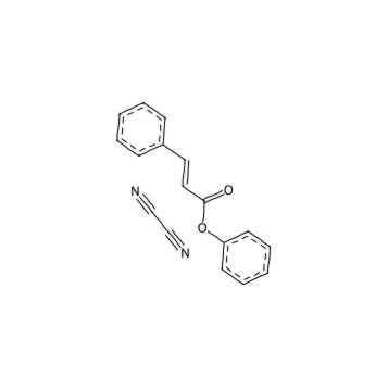 N#CC#N.O=C(C=Cc1ccccc1)Oc1ccccc1